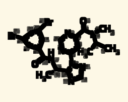 CC(C)N(C)C(=O)c1cc(-n2ncnc2[C@H](C)NC(=O)c2cc(Br)cc(Br)c2)ncn1